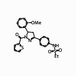 CCS(=O)(=O)Nc1ccc(C2=NN(C(=O)c3cccs3)C(c3ccccc3OC)C2)cc1